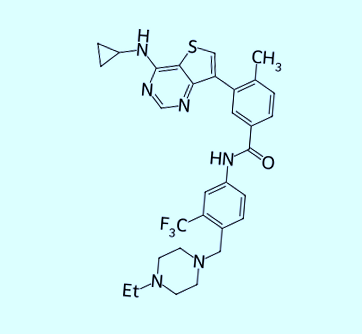 CCN1CCN(Cc2ccc(NC(=O)c3ccc(C)c(-c4csc5c(NC6CC6)ncnc45)c3)cc2C(F)(F)F)CC1